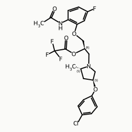 CC(=O)Nc1ccc(F)cc1OC[C@@H](CN1C[C@@H](Oc2ccc(Cl)cc2)C[C@@H]1C)OC(=O)C(F)(F)F